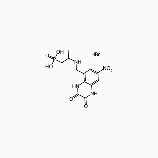 Br.CC(CP(=O)(O)O)NCc1cc([N+](=O)[O-])cc2[nH]c(=O)c(=O)[nH]c12